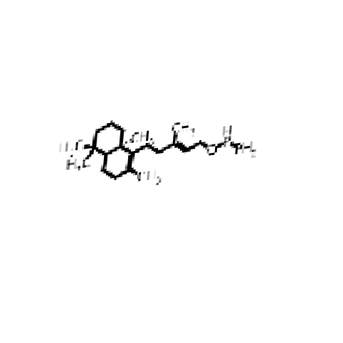 CC1=C(CC/C(C)=C/COPP)[C@]2(C)CCCC(C)(C)C2CC1